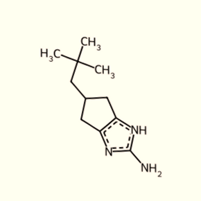 CC(C)(C)CC1Cc2nc(N)[nH]c2C1